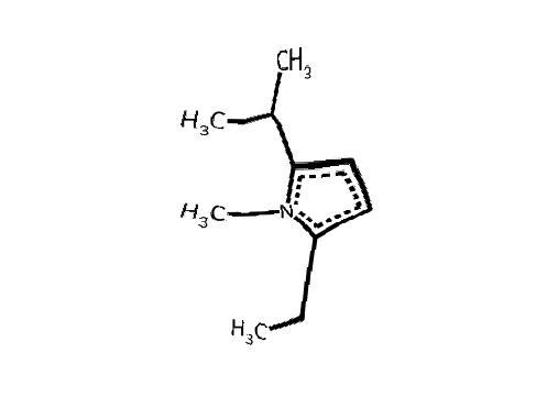 CCc1ccc(C(C)C)n1C